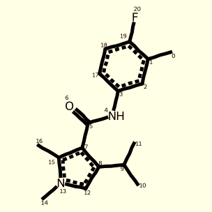 Cc1cc(NC(=O)c2c(C(C)C)cn(C)c2C)ccc1F